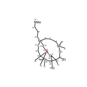 CCC1O[Si](C)(C)CCC[Si]2(CCCNC)CCC[Si](C)(C)OC(CC)C1(C)O[Si](C)(C)CCC2